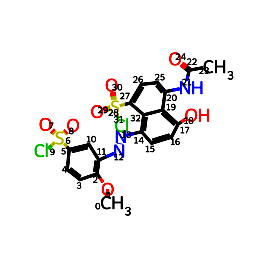 COc1ccc(S(=O)(=O)Cl)cc1/N=N/c1ccc(O)c2c(NC(C)=O)ccc(S(=O)(=O)Cl)c12